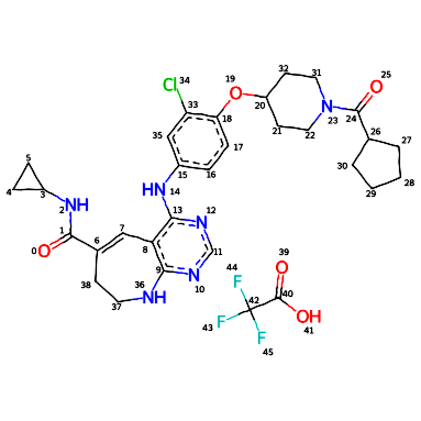 O=C(NC1CC1)C1=Cc2c(ncnc2Nc2ccc(OC3CCN(C(=O)C4CCCC4)CC3)c(Cl)c2)NCC1.O=C(O)C(F)(F)F